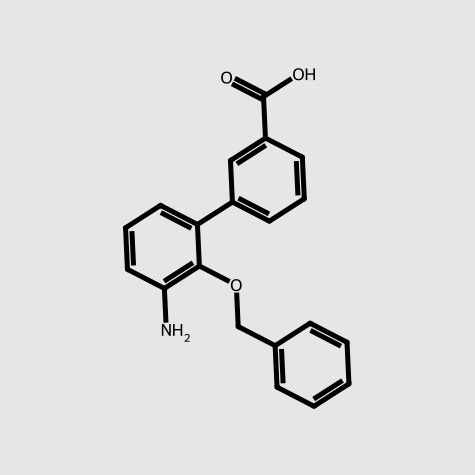 Nc1cccc(-c2cccc(C(=O)O)c2)c1OCc1ccccc1